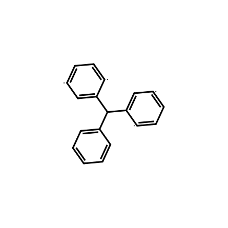 [c]1cc[c]c(C(c2[c]cc[c]c2)c2ccccc2)c1